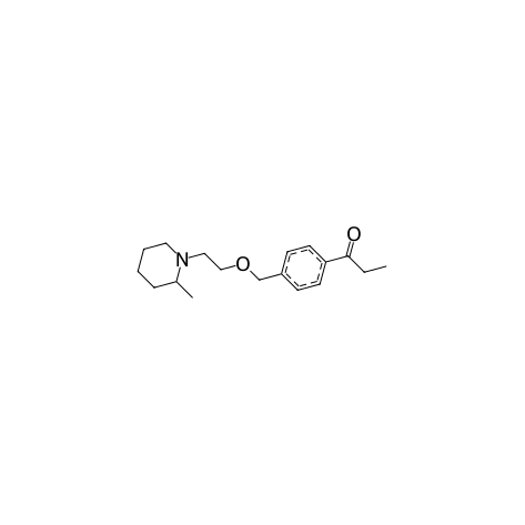 CCC(=O)c1ccc(COCCN2CCCCC2C)cc1